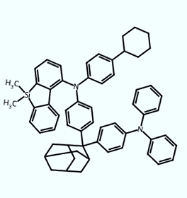 C[Si]1(C)c2ccccc2-c2c(N(c3ccc(C4CCCCC4)cc3)c3ccc(C4(c5ccc(N(c6ccccc6)c6ccccc6)cc5)C5CC6CC(C5)CC4C6)cc3)cccc21